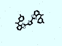 Cc1cccc(C(C)c2cccc3oc(-c4ccc(-c5nc6c(C(C)c7cccc(C)c7)cccc6o5)s4)nc23)c1